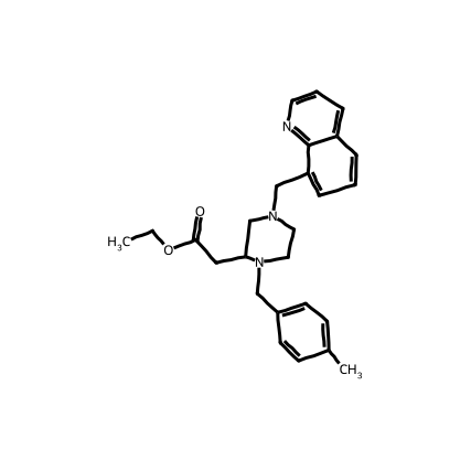 CCOC(=O)CC1CN(Cc2cccc3cccnc23)CCN1Cc1ccc(C)cc1